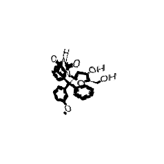 COc1cccc(C(c2ccccc2)(c2ccccc2)[C@]2(n3cc(C)c(=O)[nH]c3=O)C[C@H](O)[C@@H](CO)O2)c1